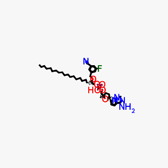 CCCCCCCCCCCCCCCCCC[C@@H](COP(=O)(O)OC[C@]1(C)CC[C@H](c2ccc3c(N)ncnn23)O1)OCc1cc(F)cc(C#N)c1